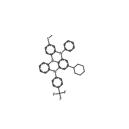 CSc1ccc2c(c1)N(c1ccccc1)c1cc(C3CCCCC3)cc3c1B2c1ccccc1N3c1ccc(C(F)(F)F)cc1